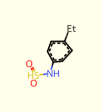 CCc1ccc(N[SH](=O)=O)cc1